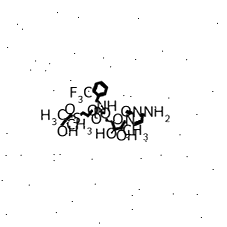 CC(C)(CO)C(=O)SCCOP(=O)(NCc1ccccc1C(F)(F)F)OC[C@H]1OC(n2ccc(N)nc2=O)C(C)(O)[C@H]1O